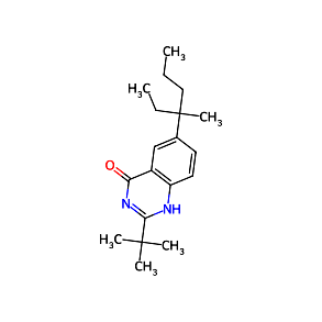 CCCC(C)(CC)c1ccc2[nH]c(C(C)(C)C)nc(=O)c2c1